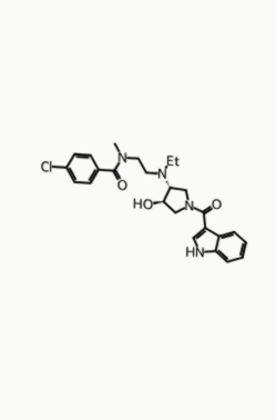 CCN(CCN(C)C(=O)c1ccc(Cl)cc1)[C@@H]1CN(C(=O)c2c[nH]c3ccccc23)C[C@H]1O